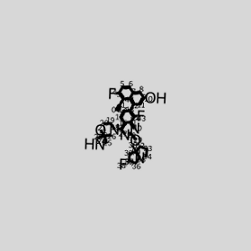 C#Cc1c(F)ccc2cc(O)cc(-c3ccc4c(N5CCOC6(CNC6)C5)nc(OC[C@@]56CCCN5C[C@H](F)C6)nc4c3F)c12